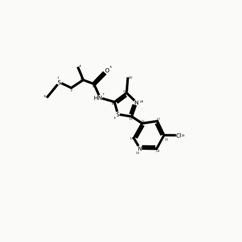 CSCC(C)C(=O)Nc1sc(-c2cncc(Cl)c2)nc1C